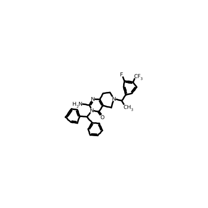 CC(c1ccc(C(F)(F)F)c(F)c1)N1CCc2nc(N)n(C(c3ccccc3)c3ccccc3)c(=O)c2C1